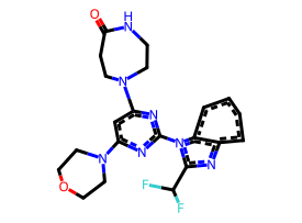 O=C1CCN(c2cc(N3CCOCC3)nc(-n3c(C(F)F)nc4ccccc43)n2)CCN1